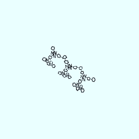 c1ccc(-c2ccc(-c3nc(-c4ccc(-c5cccc(-c6ccc(-c7nc(-c8ccc(-c9cccc(-c%10ccc(-c%11nc(-c%12ccccc%12)nc(-c%12ccc(-n%13c%14ccccc%14c%14ccc%15c%16ccccc%16oc%15c%14%13)cc%12)n%11)cc%10)c9)cc8)nc(-c8ccc(-n9c%10ccccc%10c%10ccc%11c%12ccccc%12oc%11c%109)cc8)n7)cc6)c5)cc4)nc(-c4ccc(-n5c6ccccc6c6ccc7c8ccccc8oc7c65)cc4)n3)cc2)cc1